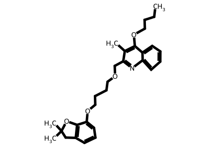 CCCCOc1c(C)c(COCCCCOc2cccc3c2OC(C)(C)C3)nc2ccccc12